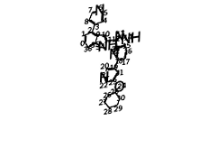 c1cc(-c2ccncc2)c2cc(-c3n[nH]c4ccc(-c5cncc(OC6CCCCC6)c5)nc34)[nH]c2c1